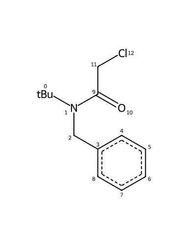 CC(C)(C)N(Cc1ccccc1)C(=O)CCl